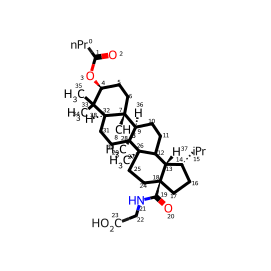 CCCC(=O)O[C@H]1CC[C@]2(C)[C@H]3CCC4[C@@H]5[C@H](C(C)C)CC[C@]5(C(=O)NCC(=O)O)CC[C@@]4(C)[C@]3(C)CC[C@H]2C1(C)C